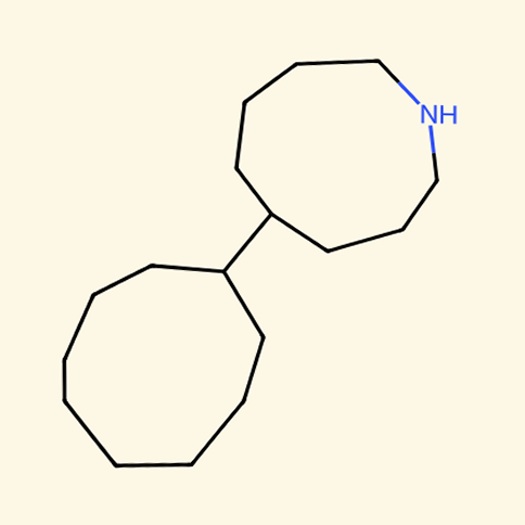 C1CCCCC(C2CCCCNCCC2)CCC1